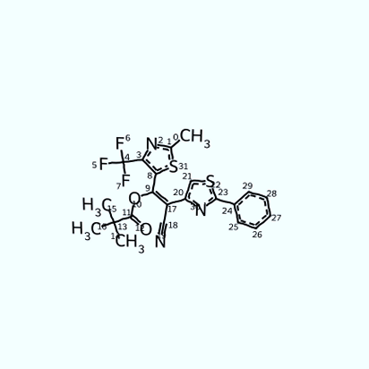 Cc1nc(C(F)(F)F)c(C(OC(=O)C(C)(C)C)=C(C#N)c2csc(-c3ccccc3)n2)s1